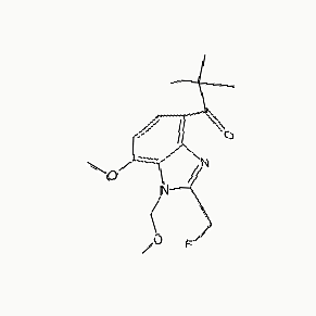 COCn1c(CF)nc2c(C(=O)C(C)(C)C)ccc(OC)c21